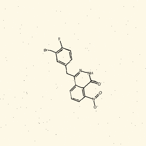 O=c1[nH]nc(Cc2ccc(F)c(Br)c2)c2cccc([N+](=O)[O-])c12